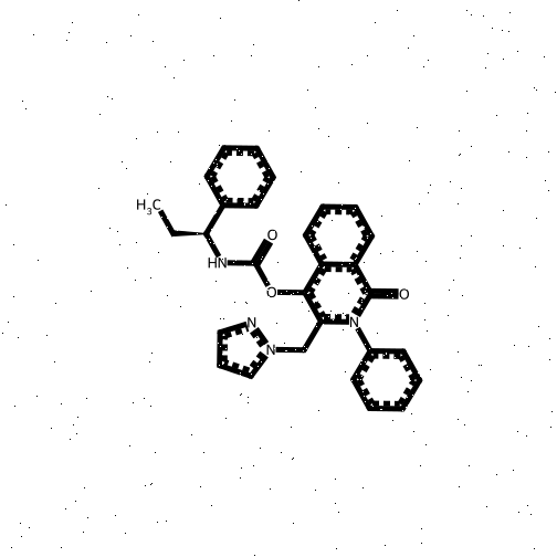 CC[C@H](NC(=O)Oc1c(Cn2cccn2)n(-c2ccccc2)c(=O)c2ccccc12)c1ccccc1